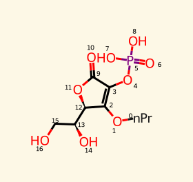 CCCOC1=C(OP(=O)(O)O)C(=O)O[C@@H]1[C@@H](O)CO